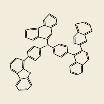 c1ccc2cc(-c3ccc4ccccc4c3-c3ccc(N(c4ccc(-c5cccc6c5oc5ccccc56)cc4)c4cc5ccccc5c5ccccc45)cc3)ccc2c1